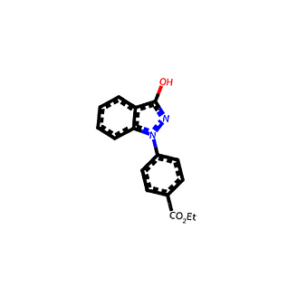 CCOC(=O)c1ccc(-n2nc(O)c3ccccc32)cc1